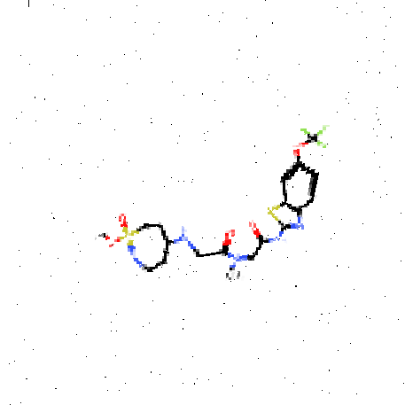 COS1(=O)=NCCC(NCC(=O)N(C)CC(=O)Nc2nc3ccc(OC(F)(F)F)cc3s2)CC1